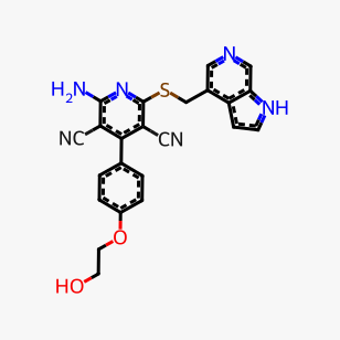 N#Cc1c(N)nc(SCc2cncc3[nH]ccc23)c(C#N)c1-c1ccc(OCCO)cc1